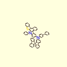 c1ccc(-c2ccc(N(c3ccc4c(c3)C3(c5ccccc5-c5ccccc53)c3ccccc3-4)c3ccc4c(c3)c3c5ccccc5c5c6ccccc6sc5c3n4-c3ccccc3)cc2)cc1